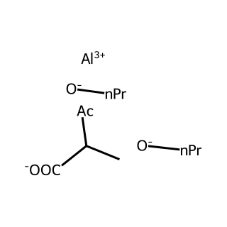 CC(=O)C(C)C(=O)[O-].CCC[O-].CCC[O-].[Al+3]